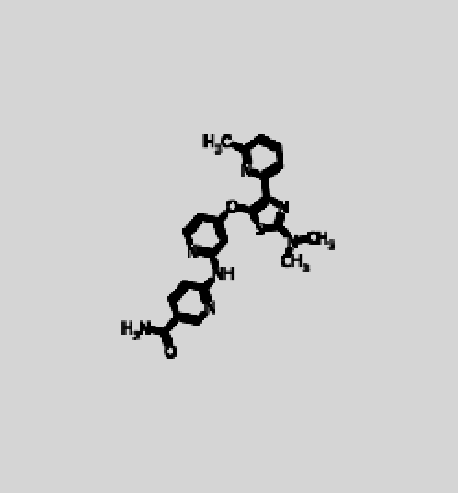 Cc1cccc(-c2nc(N(C)C)sc2Oc2ccnc(Nc3ccc(C(N)=O)cn3)c2)n1